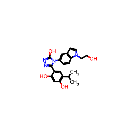 CC(C)c1cc(-c2nnc(O)n2-c2ccc3c(ccn3CCO)c2)c(O)cc1O